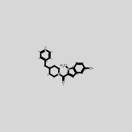 Cn1c(C(=O)N2CCC(Cc3ccncc3)CC2)cc2cc(Cl)ccc21